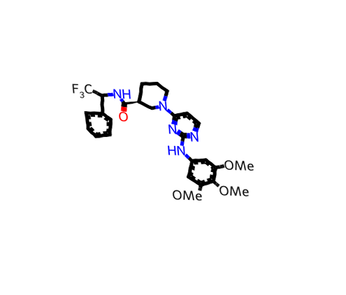 COc1cc(Nc2nccc(N3CCC[C@H](C(=O)NC(c4ccccc4)C(F)(F)F)C3)n2)cc(OC)c1OC